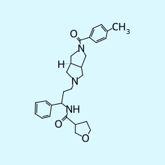 Cc1ccc(C(=O)N2CC3CN(CCC(NC(=O)C4CCOC4)c4ccccc4)C[C@H]3C2)cc1